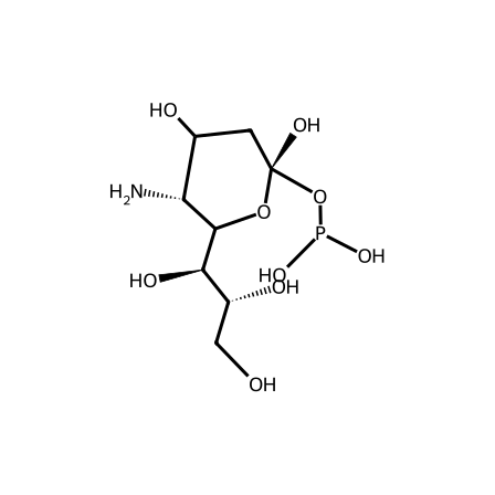 N[C@@H]1C(O)C[C@](O)(OP(O)O)OC1[C@H](O)[C@H](O)CO